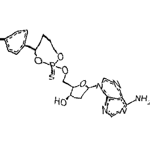 Nc1ncnc2c1ncn2[C@H]1C[C@@H](O)[C@@H](COP2(=S)OCCC(c3ccccc3)O2)O1